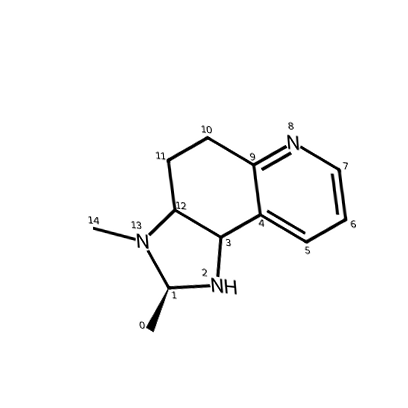 C[C@@H]1NC2c3cccnc3CCC2N1C